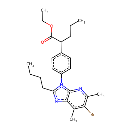 CCCCc1nc2c(C)c(Br)c(C)nc2n1-c1ccc(C(CCC)C(=O)OCC)cc1